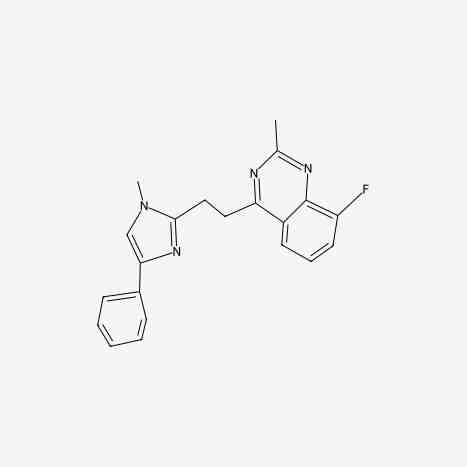 Cc1nc(CCc2nc(-c3ccccc3)cn2C)c2cccc(F)c2n1